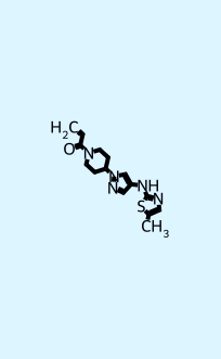 C=CC(=O)N1CCC(n2cc(Nc3ncc(C)s3)cn2)CC1